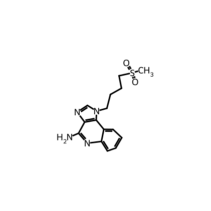 CS(=O)(=O)CCCCn1cnc2c(N)nc3ccccc3c21